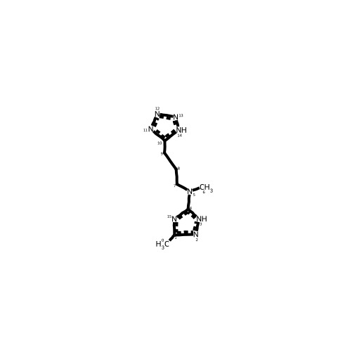 Cc1n[nH]c(N(C)CCCc2nnn[nH]2)n1